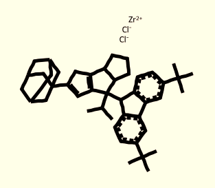 CC(C)C1(C2c3ccc(C(C)(C)C)cc3-c3cc(C(C)(C)C)ccc32)C2=C(CC(C34CC5CC(CC(C5)C3)C4)=C2)C2CCCC21.[Cl-].[Cl-].[Zr+2]